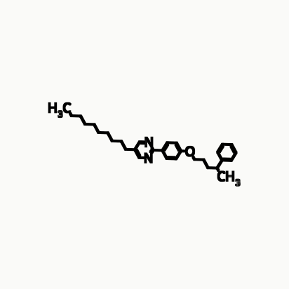 CCCCCCCCCCc1cnc(-c2ccc(OCCCC(C)c3ccccc3)cc2)nc1